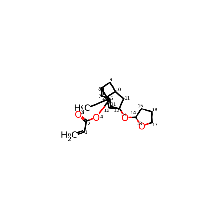 C=CC(=O)OC1(C)C=C2CC3CC(OC4CCCO4)(CC23)C1